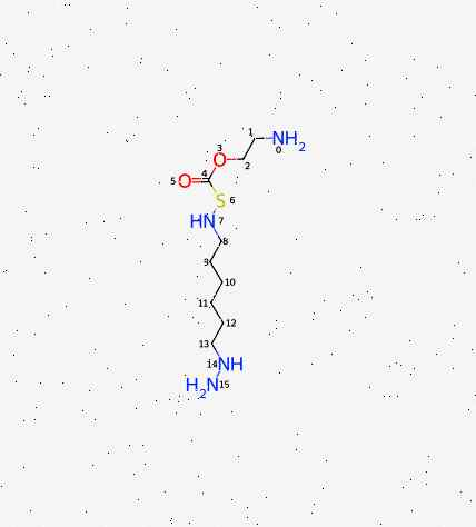 NCCOC(=O)SNCCCCCCNN